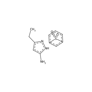 CCc1cc(N)[nH]n1.O=S1(=O)c2cccc1c2